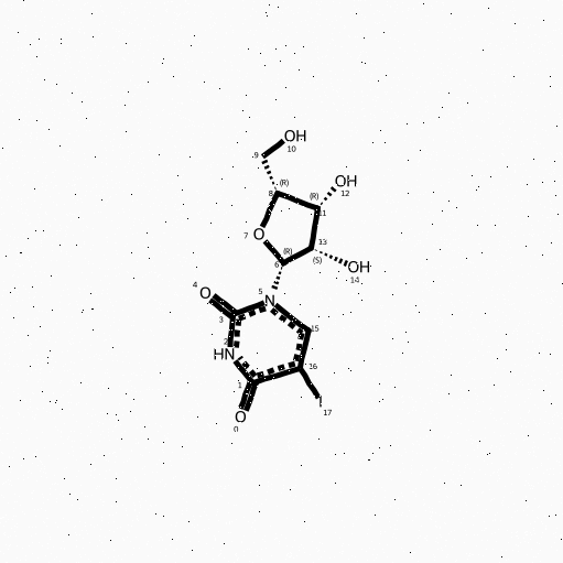 O=c1[nH]c(=O)n([C@@H]2O[C@H](CO)[C@H](O)[C@@H]2O)cc1I